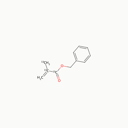 C=[13C]([13CH3])[13C](=O)OCc1ccccc1